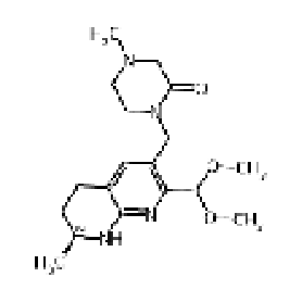 COC(OC)c1nc2c(cc1CN1CCN(C)CC1=O)CC[C@H](C)N2